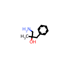 CC(O)(CN)Cc1ccccc1